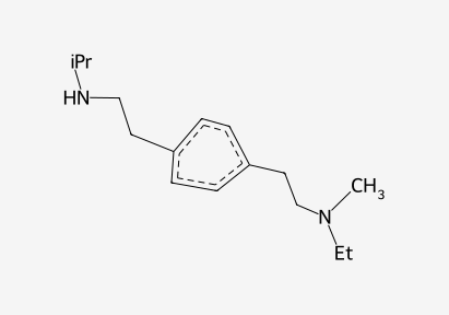 CCN(C)CCc1ccc(CCNC(C)C)cc1